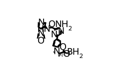 BOC(=O)[C@@H](C)N(C)c1ccc(-c2cnc(N)c(C(=O)Nc3cnccc3N3CCOCC3)n2)cc1